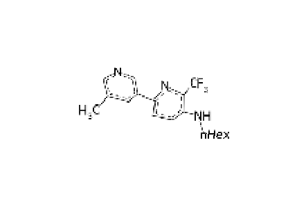 CCCCCCNc1ccc(-c2cncc(C)c2)nc1C(F)(F)F